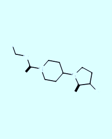 CCOC(=O)N1CCC(N2CCC(Br)C2=O)CC1